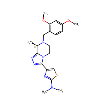 COc1ccc(CN2CCn3c(-c4csc(N(C)C)n4)nnc3[C@H]2C)c(OC)c1